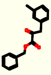 Cc1cccc(CC(=O)C(=O)OCc2ccccc2)c1